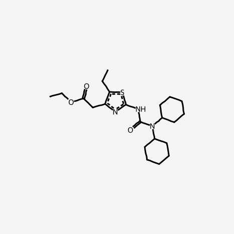 CCOC(=O)Cc1nc(NC(=O)N(C2CCCCC2)C2CCCCC2)sc1CC